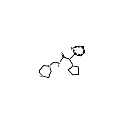 S=C(NCN1CCOCC1)C(c1ccccn1)N1CCCC1